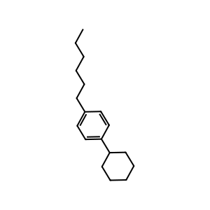 CCCCCCc1ccc(C2CCCCC2)cc1